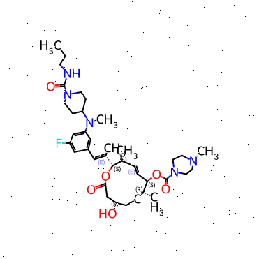 CCCNC(=O)N1CCC(N(C)c2cc(F)cc(/C=C(\C)[C@H]3OC(=O)C[C@@H](O)CC[C@@H](C)[C@H](OC(=O)N4CCN(C)CC4)/C=C/[C@@H]3C)c2)CC1